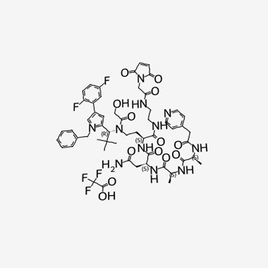 C[C@H](NC(=O)Cc1ccncc1)C(=O)N[C@@H](C)C(=O)N[C@@H](CC(N)=O)C(=O)N[C@@H](CCN(C(=O)CO)[C@@H](c1cc(-c2cc(F)ccc2F)cn1Cc1ccccc1)C(C)(C)C)C(=O)NCCNC(=O)CN1C(=O)C=CC1=O.O=C(O)C(F)(F)F